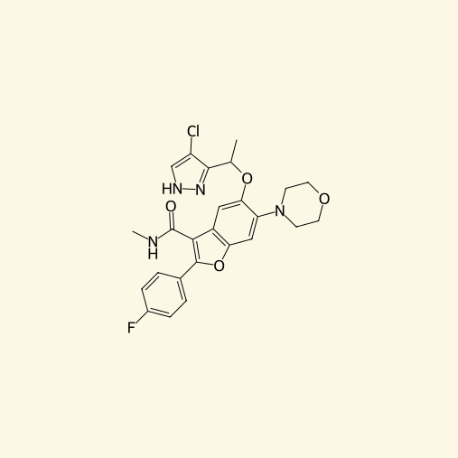 CNC(=O)c1c(-c2ccc(F)cc2)oc2cc(N3CCOCC3)c(OC(C)c3n[nH]cc3Cl)cc12